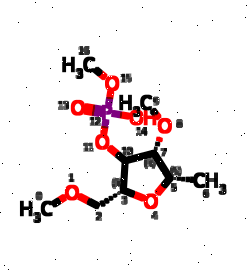 COC[C@H]1O[C@@H](C)[C@@H](OC)C1OP(=O)(O)OC